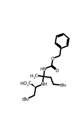 CC(C)(C)CCC(C)(NC(=O)OCc1ccccc1)N[C@@H](CC(C)(C)C)C(=O)O